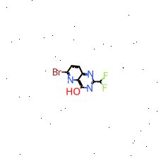 Oc1nc(C(F)F)nc2ccc(Br)nc12